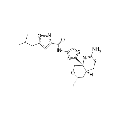 CC(C)Cc1cc(C(=O)Nc2csc([C@]34CO[C@@H](C)C[C@H]3CSC(N)=N4)n2)no1